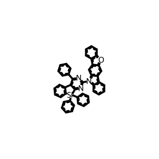 c1ccc(-c2nc(-n3c4ccccc4c4cc5oc6ccccc6c5cc43)nc3c2-c2ccccc2[Si]3(c2ccccc2)c2ccccc2)cc1